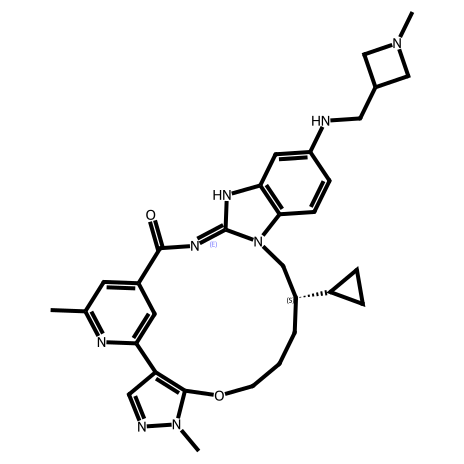 Cc1cc2cc(n1)-c1cnn(C)c1OCCC[C@@H](C1CC1)CN1/C(=N/C2=O)Nc2cc(NCC3CN(C)C3)ccc21